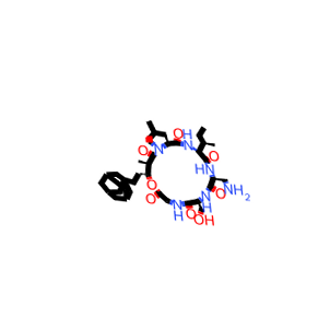 CC[C@@H](C)[C@@H]1NC(=O)[C@H](CC(C)C)N(C)C(=O)[C@H](C)[C@@H](CCC23CC4CC(CC(C4)C2)C3)OC(=O)CNC(=O)[C@H](CO)NC(=O)[C@H](CN)NC1=O